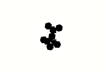 c1ccc(-c2cc(-c3ccc(N4c5cc6ccccc6cc5-c5ccccc5-n5c4nc4ccccc45)cc3)nc(-c3ccccc3)n2)cc1